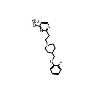 CC(C)(C)Oc1ccnc(CCN2CCC(COc3ccccc3F)CC2)n1